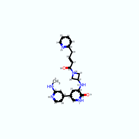 CNc1cc(-c2c[nH]c(=O)c(NC3CN(C(=O)/C=C/Cc4ccccn4)C3)c2)ccn1